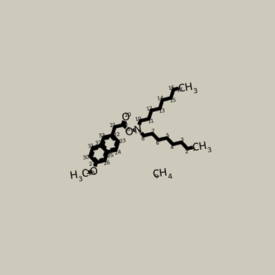 C.CCCCCCCCN(CCCCCCCC)OC(=O)Cc1ccc2cc(OC)ccc2c1